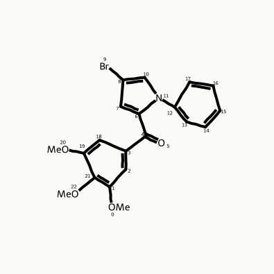 COc1cc(C(=O)c2cc(Br)cn2-c2ccccc2)cc(OC)c1OC